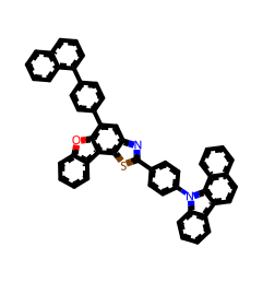 c1ccc2c(-c3ccc(-c4cc5nc(-c6ccc(-n7c8ccccc8c8ccc9ccccc9c87)cc6)sc5c5c4oc4ccccc45)cc3)cccc2c1